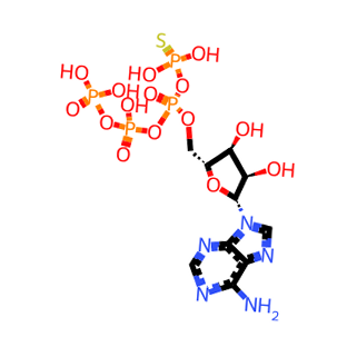 Nc1ncnc2c1ncn2[C@@H]1O[C@H](COP(=O)(OP(=O)(O)OP(=O)(O)O)OP(O)(O)=S)[C@@H](O)[C@H]1O